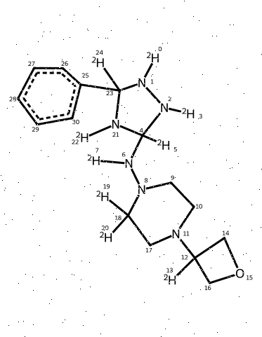 [2H]N1N([2H])C([2H])(N([2H])N2CCN(C3([2H])COC3)CC2([2H])[2H])N([2H])C1([2H])c1ccccc1